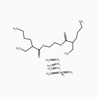 C=C.C=C.C=C.C=C.C=C.CCCCC(CC)C(=O)OCCOC(=O)C(CC)CCCC